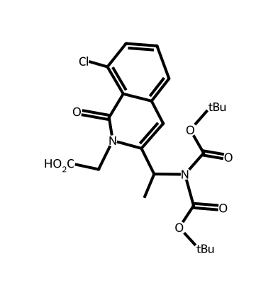 CC(c1cc2cccc(Cl)c2c(=O)n1CC(=O)O)N(C(=O)OC(C)(C)C)C(=O)OC(C)(C)C